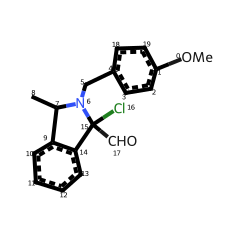 COc1ccc(CN2C(C)c3ccccc3C2(Cl)C=O)cc1